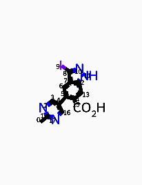 Cc1ncc(-c2cc3c(I)n[nH]c3cc2C(=O)O)cn1